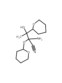 CC(O)(C1CCCCO1)C(N)(C#N)OC1CCCCO1